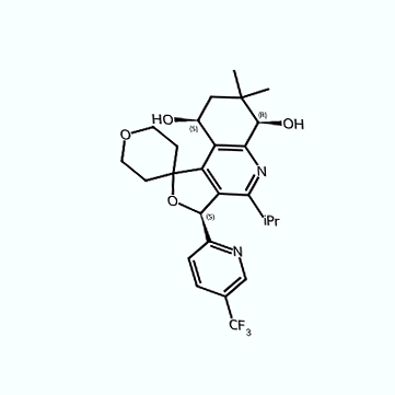 CC(C)c1nc2c(c3c1[C@@H](c1ccc(C(F)(F)F)cn1)OC31CCOCC1)[C@@H](O)CC(C)(C)[C@H]2O